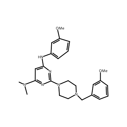 COc1cccc(CN2CCN(c3nc(Nc4cccc(OC)c4)cc(N(C)C)n3)CC2)c1